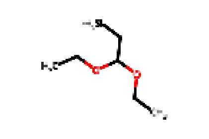 CCOC(C[SiH2])OCC